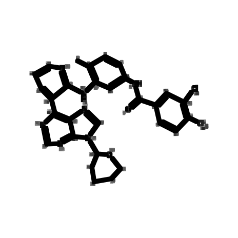 Cc1ccc(NC(=O)c2ccc(C(F)(F)F)c(Cl)c2)cc1Nc1ncccc1-c1ncnc2c1ncn2C1CCCCO1